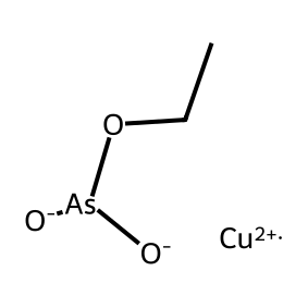 CCO[As]([O-])[O-].[Cu+2]